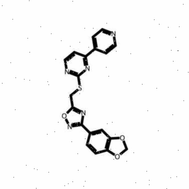 c1cc(-c2ccnc(SCc3nc(-c4ccc5c(c4)OCO5)no3)n2)ccn1